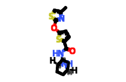 Cc1csc(Oc2ccc(C(=O)N[C@@H]3C[C@H]4CC[C@@H]3N4)s2)n1